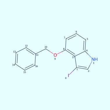 Ic1c[nH]c2cccc(OCc3ccccc3)c12